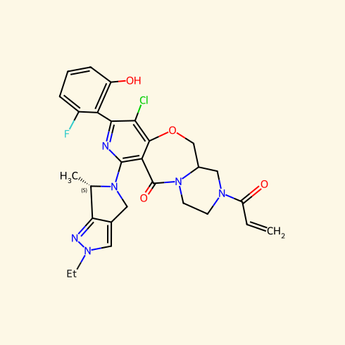 C=CC(=O)N1CCN2C(=O)c3c(N4Cc5cn(CC)nc5[C@@H]4C)nc(-c4c(O)cccc4F)c(Cl)c3OCC2C1